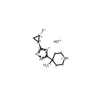 CC1(c2noc([C@H]3C[C@@H]3F)n2)CCNCC1.Cl